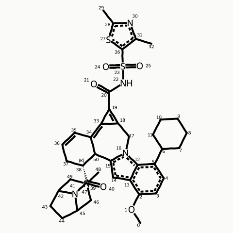 COc1ccc(C2CCCCC2)c2c1cc1n2CC2=C(C(=O)NS(=O)(=O)c3sc(C)nc3C)C2=C2C=CC[C@@H](C(=O)N3C4CCC3CN(C)C4)C21